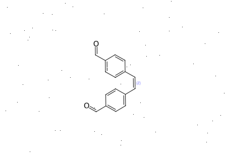 O=Cc1ccc(/C=C\c2ccc(C=O)cc2)cc1